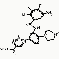 COC(=O)c1cn(-c2ccc(N3CCN(C)CC3)c(NC(=O)c3cc(N)c(F)c(C)c3Cl)c2)nn1